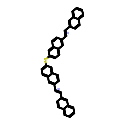 C(=C\c1ccc2cc(Sc3ccc4cc(/C=C/c5ccc6ccccc6c5)ccc4c3)ccc2c1)/c1ccc2ccccc2c1